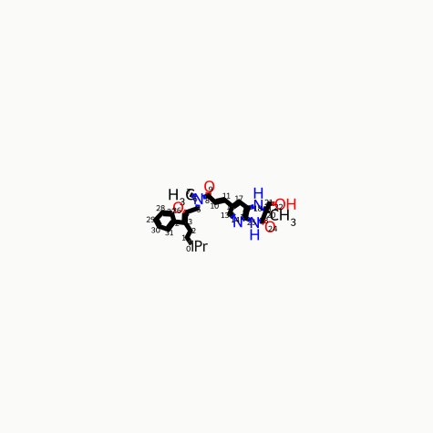 CC(C)CCc1c(CN(C)C(=O)/C=C/c2cnc3c(c2)N[C@](C)(CO)C(=O)N3)oc2ccccc12